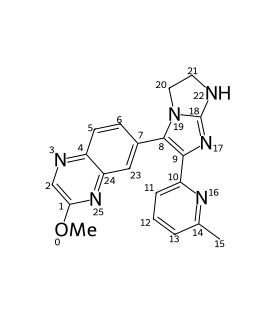 COc1cnc2ccc(-c3c(-c4cccc(C)n4)nc4n3CCN4)cc2n1